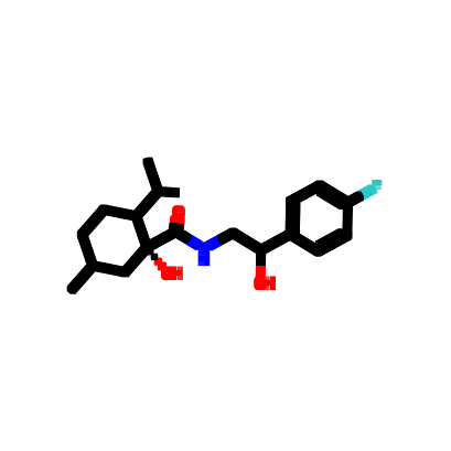 CC1CCC(C(C)C)[C@@](O)(C(=O)NCC(O)c2ccc(F)cc2)C1